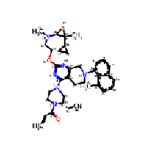 C=CC(=O)N1CCN(c2nc(OCCN(C)C3S[C@]3(C)C3CC3)nc3c2CCN(c2cccc4cccc(C)c24)C3)C[C@@H]1CC#N